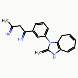 C=C1NC2=C(CC=CC=C2)N1c1cccc(C(=N)CC(C)=N)c1